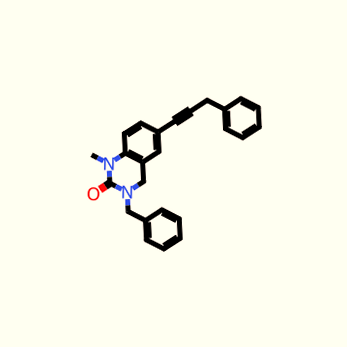 CN1C(=O)N(Cc2ccccc2)Cc2cc(C#CCc3ccccc3)ccc21